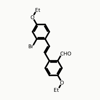 CCOc1ccc(/C=C/c2ccc(OCC)cc2C=O)c(Br)c1